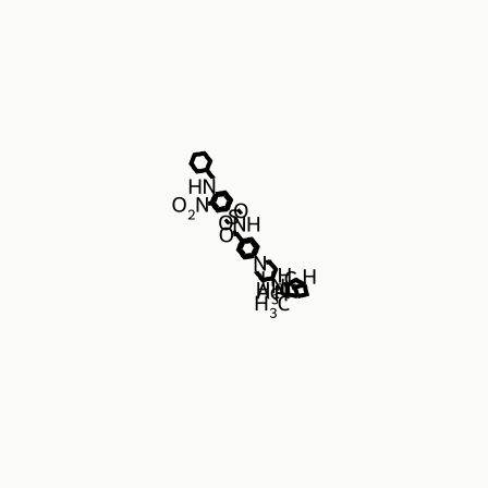 CC(=O)N(C1CCN(c2ccc(C(=O)NS(=O)(=O)c3ccc(NCC4CCCCC4)c([N+](=O)[O-])c3)cc2)CC1)[C@H]1C[C@H]2CC([C@@H]1C)C2(C)C